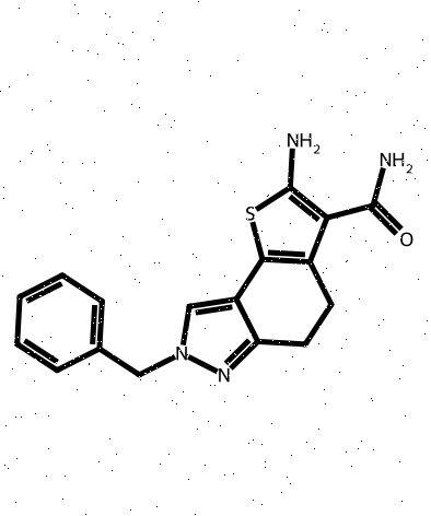 NC(=O)c1c(N)sc2c1CCc1nn(Cc3ccccc3)cc1-2